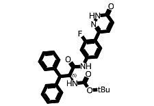 CC(C)(C)OC(=O)N[C@H](C(=O)Nc1ccc(-c2ccc(=O)[nH]n2)c(F)c1)C(c1ccccc1)c1ccccc1